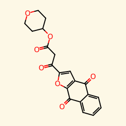 O=C(CC(=O)c1cc2c(o1)C(=O)c1ccccc1C2=O)OC1CCOCC1